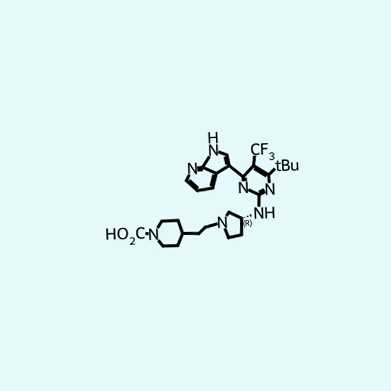 CC(C)(C)c1nc(N[C@@H]2CCN(CCC3CCN(C(=O)O)CC3)C2)nc(-c2c[nH]c3ncccc23)c1C(F)(F)F